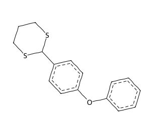 c1ccc(Oc2ccc(C3SCCCS3)cc2)cc1